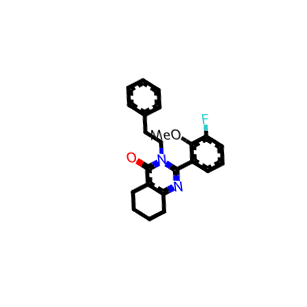 COc1c(F)cccc1-c1nc2c(c(=O)n1CCc1ccccc1)CCCC2